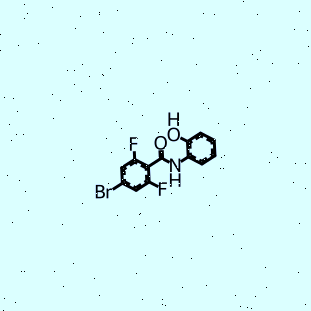 O=C(Nc1ccccc1O)c1c(F)cc(Br)cc1F